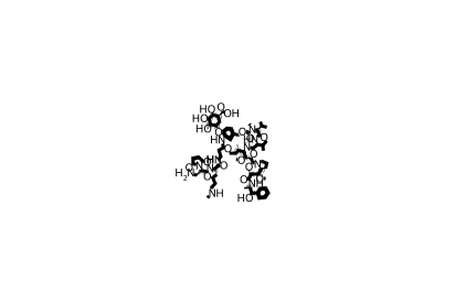 CC[C@H](C)[C@@H]([C@@H](CC(=O)N1CCC[C@H]1[C@H](OC)[C@@H](C)C(=O)N[C@H](C)[C@@H](O)c1ccccc1)OC)N(C)C(=O)C(NC(=O)[C@H](C(C)C)N(C)C(=O)OCc1ccc(O[C@@H]2C[C@H](C(=O)O)[C@@H](O)[C@H](O)[C@H]2O)c(NC(=O)CCNC(=O)[C@H](CCCCNC)NC(=O)[C@@H](CN)N2C(=O)C=CC2=O)c1)C(C)C